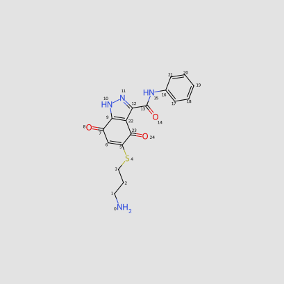 NCCCSC1=CC(=O)c2[nH]nc(C(=O)Nc3ccccc3)c2C1=O